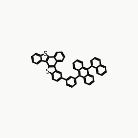 c1cc(-c2ccc3sc4c(c3c2)c2ccccc2c2sc3ccccc3c24)cc(-c2c3ccccc3c(-c3cccc4ccccc34)c3ccccc23)c1